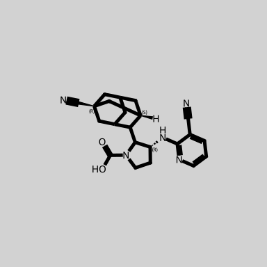 N#Cc1cccnc1N[C@@H]1CCN(C(=O)O)C1C1C2CC3C[C@H]1C[C@@](C#N)(C3)C2